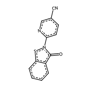 N#Cc1ccc(-n2sc3ccccc3c2=O)nc1